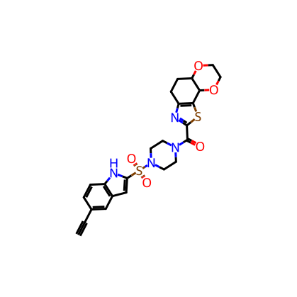 C#Cc1ccc2[nH]c(S(=O)(=O)N3CCN(C(=O)c4nc5c(s4)C4OCCOC4CC5)CC3)cc2c1